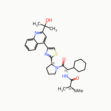 CN[C@@H](C)C(=O)N[C@H](C(=O)N1CCC[C@H]1c1nc(-c2cc(C(C)(C)O)nc3ccccc23)cs1)C1CCCCC1